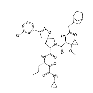 CCC[C@H](NC(=O)[C@@H]1C[C@]2(CC(c3cccc(Cl)c3)=NO2)CN1C(=O)[C@@H](NC(=O)CC1CC2CCC1C2)C1(OC)CC1)C(=O)C(=O)NC1CC1